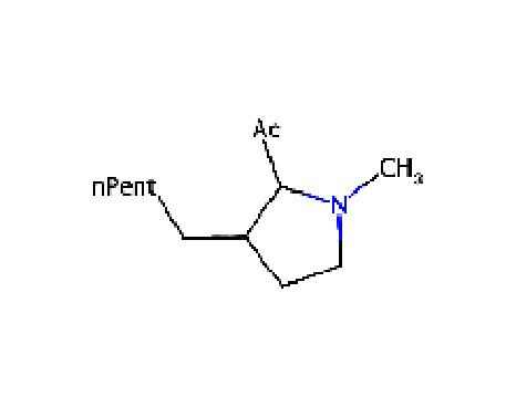 CCCCCCC1CCN(C)C1C(C)=O